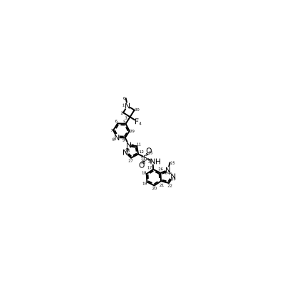 CN1CC(F)(c2ccnc(-n3cc(S(=O)(=O)Nc4cccc5cnn(C)c45)cn3)c2)C1